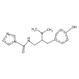 CN(C)C(CNC(=O)n1ccnc1)Cc1ccc(O)cc1